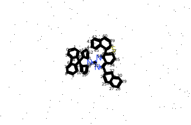 c1ccc2c(c1)-c1ccccc1C21c2ccccc2N(c2nc(-c3ccc4ccccc4c3)c3ccc4sc5ccc6ccccc6c5c4c3n2)c2ccccc21